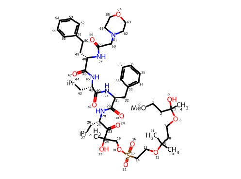 COCCC(C)(O)OCCC(C)(C)OCCS(=O)(=O)OCC(C)(O)C(=O)[C@H](CC(C)C)NC(=O)[C@H](Cc1ccccc1)NC(=O)[C@H](CC(C)C)NC(=O)[C@H](CCc1ccccc1)NC(=O)CN1CCOCC1